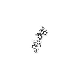 COC(=O)c1ccccc1Nc1ccc(-c2ccc(Nc3ccccc3C(=O)OC)c(OC)c2)cc1OC